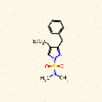 CCOC(=O)c1cn(S(=O)(=O)N(C)C)nc1Cc1ccccc1